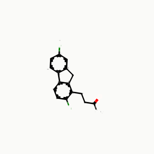 COC(=O)CCc1c(Br)ccc2c1Cc1cc(Br)ccc1-2